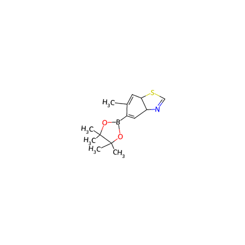 CC1=CC2SC=NC2C=C1B1OC(C)(C)C(C)(C)O1